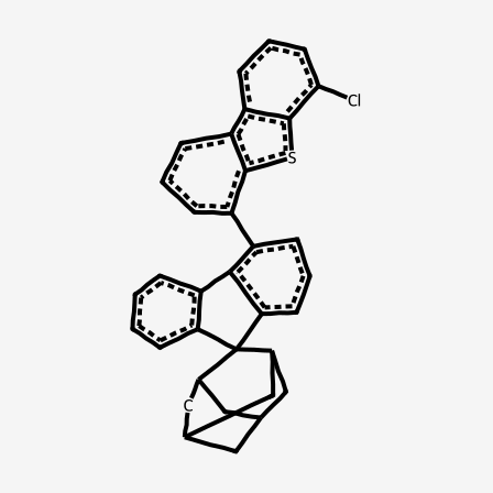 Clc1cccc2c1sc1c(-c3cccc4c3-c3ccccc3C43C4CC5CC(C4)CC3C5)cccc12